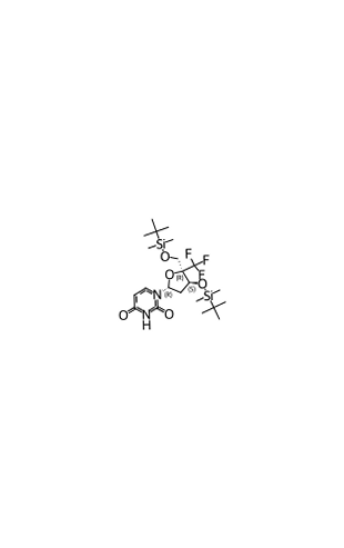 CC(C)(C)[Si](C)(C)OC[C@@]1(C(F)(F)F)O[C@@H](n2ccc(=O)[nH]c2=O)C[C@@H]1O[Si](C)(C)C(C)(C)C